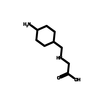 NC1CCC(CNCC(=O)O)CC1